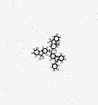 CC1(C)C2=CC(N(c3ccc4c(c3)C(C)(C)C3C=CC=CC43)c3ccc4c(c3)c3ccccc3n4-c3ccccc3)=CC[C@@H]2c2ccccc21